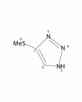 [CH2]Sc1c[nH]nn1